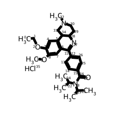 CCOc1cc2c(cc1OC)C(c1ccc(C(=O)N(C(C)C)C(C)C)cc1)=NC1CCN(C)CC21.Cl